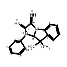 CC1(C)c2ccccc2N2C(=N)C(=N)N(c3ccccc3)C21